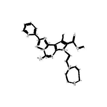 COC(=O)c1c(C)c2c(nc(N)n3nc(-c4ccccn4)nc23)n1CCN1CCCNCC1